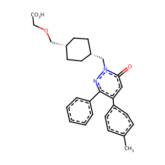 Cc1ccc(-c2cc(=O)n(C[C@H]3CC[C@@H](COCC(=O)O)CC3)nc2-c2ccccc2)cc1